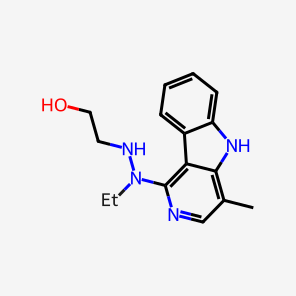 CCN(NCCO)c1ncc(C)c2[nH]c3ccccc3c12